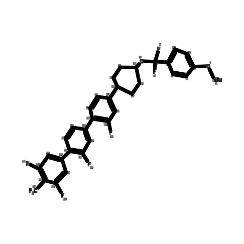 CCCCOc1ccc(C(F)(F)OC2CCC(c3ccc(-c4ccc(-c5cc(F)c(C(F)(F)F)c(F)c5)c(F)c4)c(F)c3)CC2)cc1